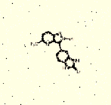 CC(C)n1nc2ccc(C(F)(F)F)nc2c1-c1ccc2[nH]c(=O)[nH]c2c1